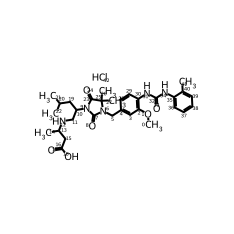 COc1cc(CN2C(=O)N(C(CNC(C)CC(=O)O)CC(C)C)C(=O)C2(C)C)ccc1NC(=O)Nc1ccccc1C.Cl